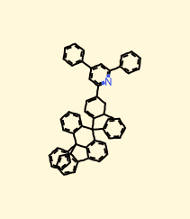 CC1CC(c2cc(-c3ccccc3)cc(-c3ccccc3)n2)=CC=C1C1(c2ccccc2)c2ccccc2C2(c3ccccc3)c3ccccc3-c3cccc1c32